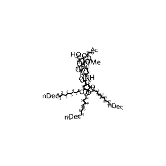 CCCCCCCCCCCCCCCCCCOc1cc(C(=O)Nc2ccn([C@@H]3O[C@H](CO)C(OC(=O)CCC(C)=O)[C@@H]3OC)c(=O)n2)cc(OCCCCCCCCCCCCCCCCCC)c1OCCCCCCCCCCCCCCCCCC